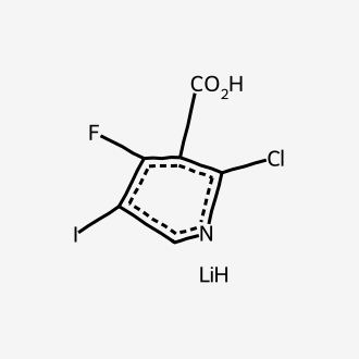 O=C(O)c1c(Cl)ncc(I)c1F.[LiH]